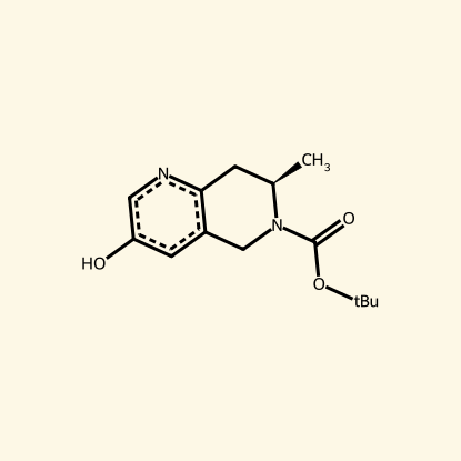 C[C@@H]1Cc2ncc(O)cc2CN1C(=O)OC(C)(C)C